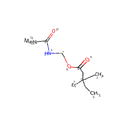 CCC(C)(C)C(=O)OCNC(=O)NC